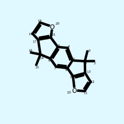 CC1(C)c2cc3c(cc2-c2occc21)C(C)(C)c1ccoc1-3